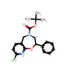 CC(C)(C)OC(=O)N1Cc2ccc(Cl)nc2OC(c2ccccc2)C1